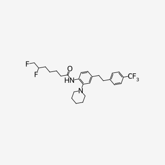 O=C(CCCCC(F)CF)Nc1ccc(CCc2ccc(C(F)(F)F)cc2)cc1N1CCCCC1